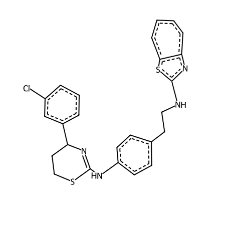 Clc1cccc(C2CCSC(Nc3ccc(CCNc4nc5ccccc5s4)cc3)=N2)c1